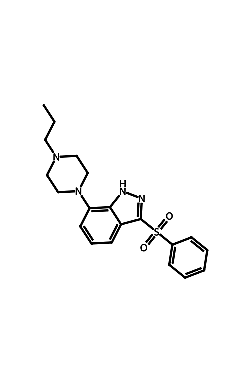 CCCN1CCN(c2cccc3c(S(=O)(=O)c4ccccc4)n[nH]c23)CC1